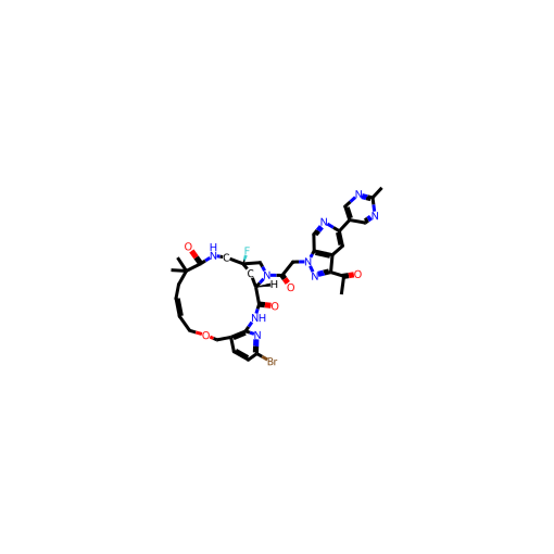 CC(=O)c1nn(CC(=O)N2C[C@@]3(F)CNC(=O)C(C)(C)C/C=C\COCc4ccc(Br)nc4NC(=O)[C@@H]2C3)c2cnc(-c3cnc(C)nc3)cc12